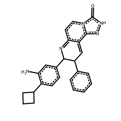 Nc1cc(C2N=c3ccn4c(=O)[nH]nc4c3=CC2c2ccccc2)ccc1C1CCC1